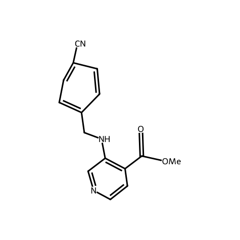 COC(=O)c1ccncc1NCc1ccc(C#N)cc1